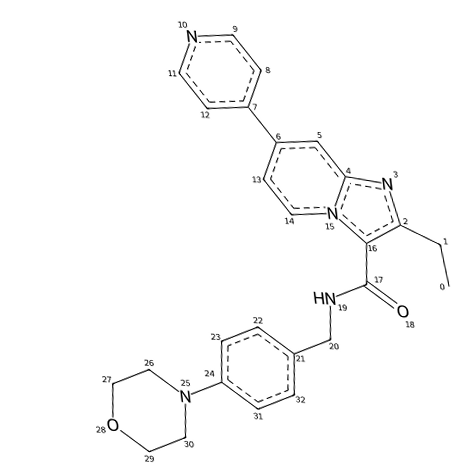 CCc1nc2cc(-c3ccncc3)ccn2c1C(=O)NCc1ccc(N2CCOCC2)cc1